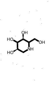 OCC1NC[C@@H](O)C(O)[C@H]1O